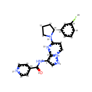 O=C(Nc1cnn2ccc(N3CCC[C@@H]3c3cccc(F)c3)nc12)c1ccncc1